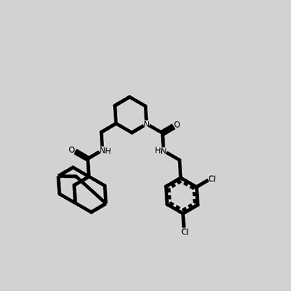 O=C(NCc1ccc(Cl)cc1Cl)N1CCCC(CNC(=O)C23CC4CC(CC(C4)C2)C3)C1